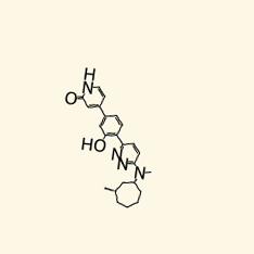 C[C@@H]1CCCC[C@H](N(C)c2ccc(-c3ccc(-c4cc[nH]c(=O)c4)cc3O)nn2)C1